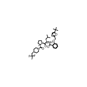 CC(C)C[C@@H](NC(=O)c1ccccc1OCc1ncc(C(C)(C)C)o1)C(=O)N1CCC[C@@H]1C(=O)N1CCN(CC(F)(F)F)CC1